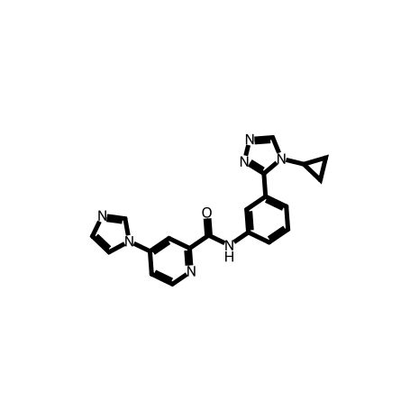 O=C(Nc1cccc(-c2nncn2C2CC2)c1)c1cc(-n2ccnc2)ccn1